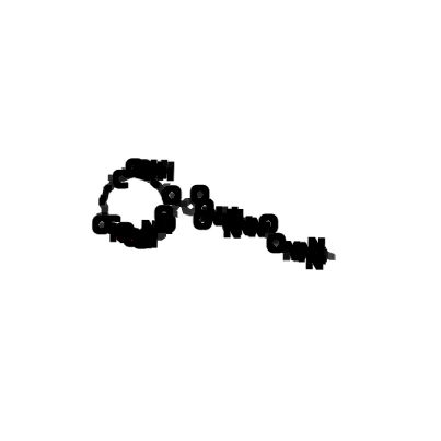 CO[C@H]1C[C@@H]2CC[C@@H](C)[C@@](O)(O2)C(=O)C(=O)N2CCCC[C@H]2C(=O)O[C@H]([C@H](C)CC2CC[C@@H](OC(=O)NCc3cnc(N4CCN(C(=O)CCOCCN5CCN(c6ncc(C)cn6)CC5)CC4)nc3)[C@H](OC)C2)C[C@@H](OC)[C@H](C)/C=C(\C)[C@@H](O)[C@@H](O)C(=O)C(C)C[C@H](C)/C=C/C=C/C=C/1C